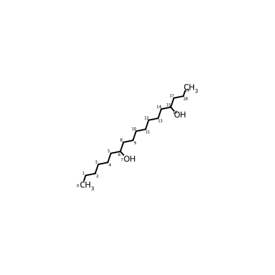 CCCCCCC(O)CCCCCCCC(O)CCC